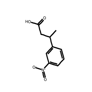 CC(CC(=O)O)c1cccc([N+](=O)[O-])c1